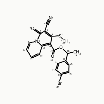 CSc1c(C#N)c(=O)n2ccccc2c1C(=O)OC(C)c1ccc(Br)cc1